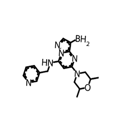 Bc1cnn2c(NCc3cccnc3)cc(N3CC(C)OC(C)C3)nc12